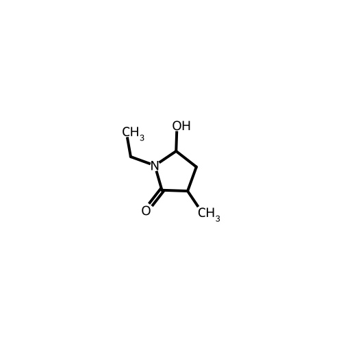 CCN1C(=O)C(C)CC1O